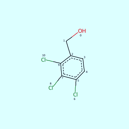 OCc1ccc(Cl)c(Cl)c1Cl